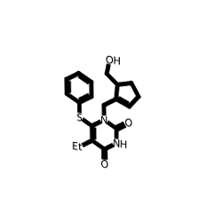 CCc1c(Sc2ccccc2)n(CC2=CCCC2CO)c(=O)[nH]c1=O